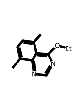 CCOc1ncnc2c(C)ccc(C)c12